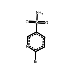 NS(=O)(=O)c1ccc(Br)nc1